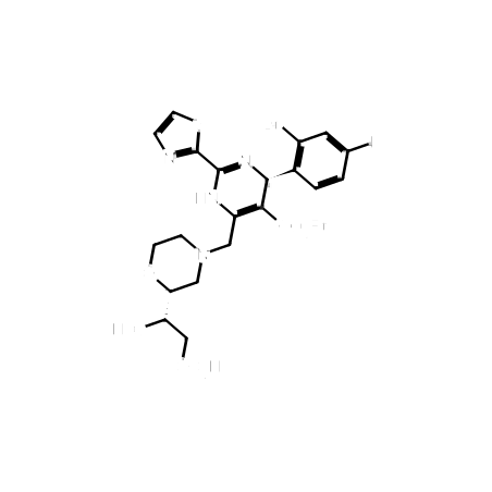 CCOC(=O)C1=C(CN2CCO[C@@H](C(C)CC(=O)O)C2)NC(c2nccs2)=N[C@H]1c1ccc(F)cc1Br